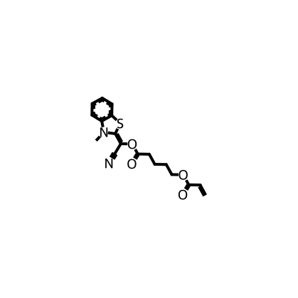 C=CC(=O)OCCCCC(=O)O/C(C#N)=C1\Sc2ccccc2N1C